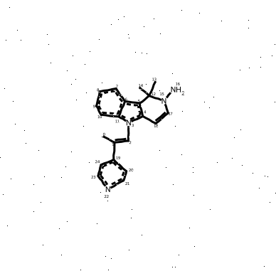 CC(=Cn1c2c(c3ccccc31)C(C)(C)N(N)C=C2)c1ccncc1